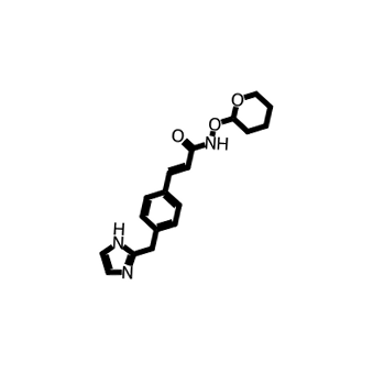 O=C(/C=C/c1ccc(Cc2ncc[nH]2)cc1)NOC1CCCCO1